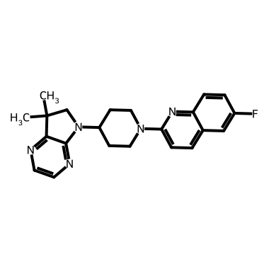 CC1(C)CN(C2CCN(c3ccc4cc(F)ccc4n3)CC2)c2nccnc21